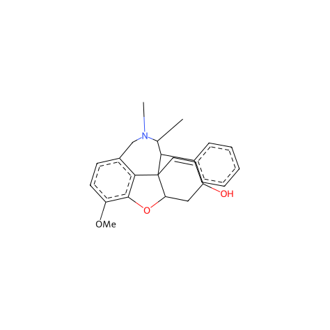 COc1ccc2c3c1OC1CC(O)C=CC31C(c1ccccc1)C(C)N(C)C2